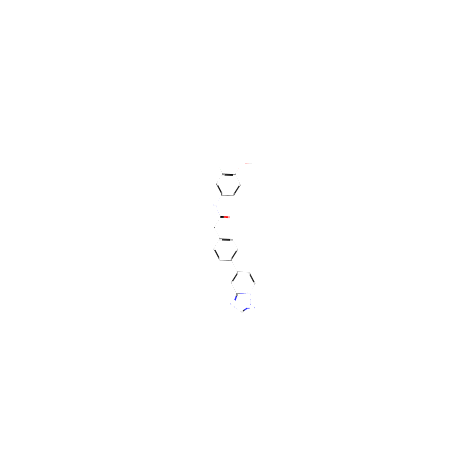 O=C(Cc1ccc(-c2ccn3ncnc3c2)cc1)Nc1ccc(OC(F)(F)F)c(F)c1